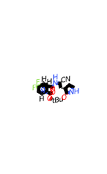 CC(C)(C)OC(=O)N1[C@H]2CC[C@@H]([C@@H]1C(=O)N[C@H](C#N)C[C@@H]1CCNC1=O)C(F)(F)C2